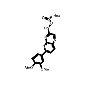 CCCCCCS(=O)ONc1cnc2ccc(-c3ccc(OC)c(OC)c3)nc2n1